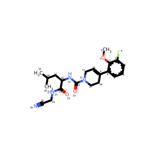 COc1c(F)cccc1C1=CCN(C(=O)NC(CC(C)C)C(=O)NCC#N)CC1